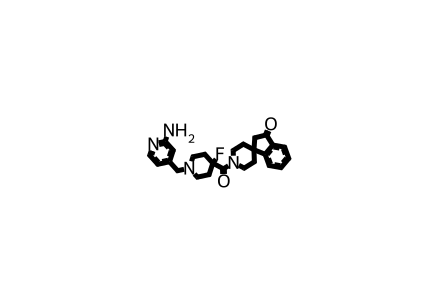 Nc1cc(CN2CCC(F)(C(=O)N3CCC4(CC3)CC(=O)c3ccccc34)CC2)ccn1